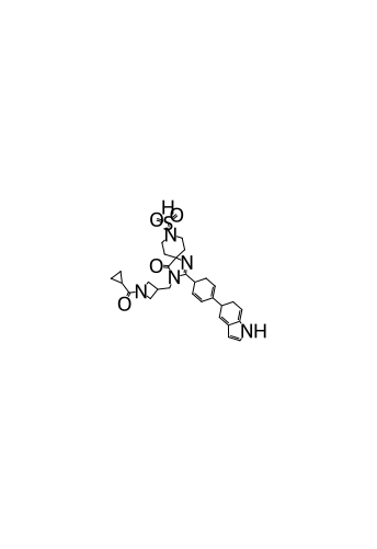 O=C(C1CC1)N1CC(CN2C(=O)C3(CCN([SH](=O)=O)CC3)N=C2C2C=CC(C3C=c4cc[nH]c4=CC3)=CC2)C1